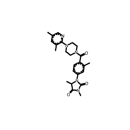 Cc1cnc(N2CCN(C(=O)c3ccc(N4C(=O)N(C)C(=O)C4C)cc3C)CC2)c(C)c1